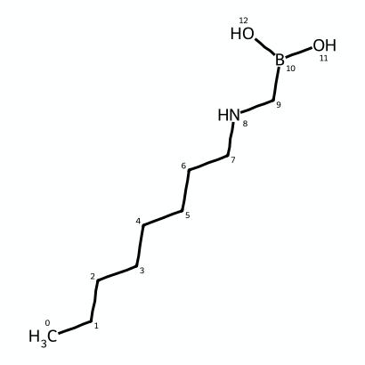 CCCCCCCCNCB(O)O